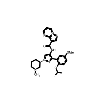 CSc1ccc(OC(F)F)c(-c2nn([C@H]3CCCN(C)C3)cc2NC(=O)c2cnn3cccnc23)c1